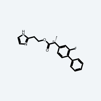 C[C@@H](C(=O)OCCc1ncc[nH]1)c1ccc(-c2ccccc2)c(F)c1